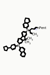 C=CC(C/C=C/CCCCC)N(c1ccc2c(c1)C=CCC2)c1ccc2c(c1)C(C)(C)c1cc(N(C3=CCC(C4CCCC4)C=C3)c3ccc4ccccc4c3)ccc1-2